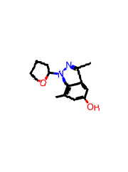 Cc1nn(C2CCCCO2)c2c(C)cc(O)cc12